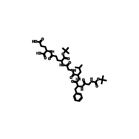 CC(C)CC(NC(=O)C(Cc1ccccc1)NC(=O)CNC(=O)OC(C)(C)C)C(=O)NCC(=O)NC(CCC(=O)NC(CCC(=O)O)C(=O)O)C(=O)OC(C)(C)C